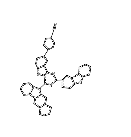 N#Cc1ccc(-c2ccc3sc4c(-n5c6ccccc6c6cc7ccccc7cc65)nc(-c5ccc6sc7ccccc7c6c5)nc4c3c2)cc1